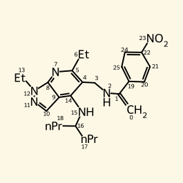 C=C(NCc1c(CC)nc2c(cnn2CC)c1NC(CCC)CCC)c1ccc([N+](=O)[O-])cc1